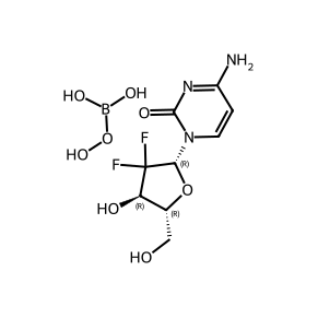 Nc1ccn([C@@H]2O[C@H](CO)[C@@H](O)C2(F)F)c(=O)n1.OOB(O)O